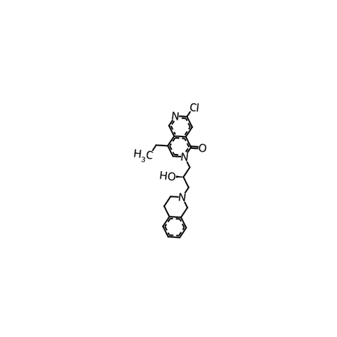 CCc1cn(C[C@H](O)CN2CCc3ccccc3C2)c(=O)c2cc(Cl)ncc12